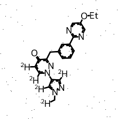 [2H]Cn1nc([2H])c(-n2nc(Cc3cccc(-c4ncc(OCC)cn4)c3)c(=O)c([2H])c2[2H])c1[2H]